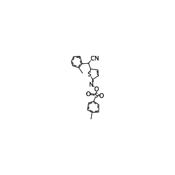 Cc1ccc(S(=O)(=O)O/N=C2\C=CC(C(C#N)c3ccccc3C)S2)cc1